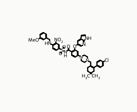 COc1cccc(CNc2ccc(S(=O)(=O)NC(=O)c3ccc(N4CCN(CC5=C(c6ccc(Cl)cc6)CC(C)(C)CC5)CC4)cc3Oc3cnc4[nH]ccc4c3)cc2[N+](=O)[O-])c1